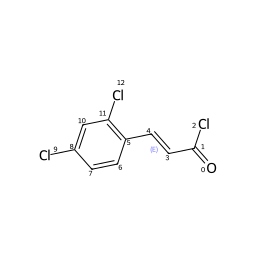 O=C(Cl)/C=C/c1ccc(Cl)cc1Cl